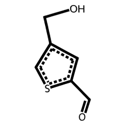 O=Cc1cc(CO)cs1